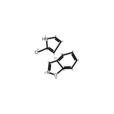 Clc1ccc[nH]1.c1ccc2oncc2c1